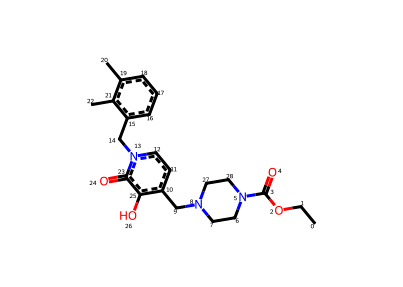 CCOC(=O)N1CCN(Cc2ccn(Cc3cccc(C)c3C)c(=O)c2O)CC1